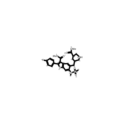 CNC(=O)c1c(-c2ccc(F)cc2)oc2cc(N(C)S(C)(=O)=O)c(CC3CNCC(C(=O)OC)C3)cc12